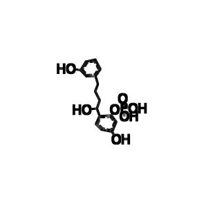 O=P(O)(O)Oc1cc(O)ccc1C(O)CCCc1cccc(O)c1